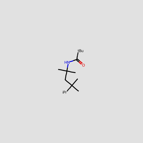 CC(C)C(C)(C)CC(C)(C)NC(=O)C(C)(C)C